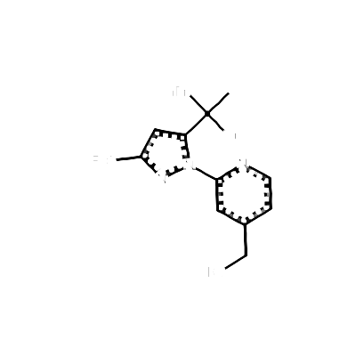 CCCC(C)(CC)c1cc(C(F)(F)F)nn1-c1cc(CC(C)(C)C)ccn1